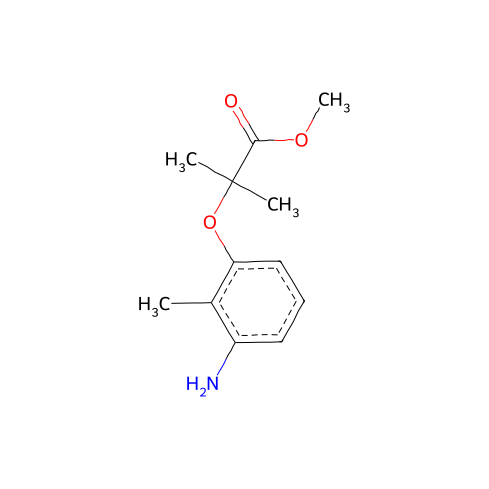 COC(=O)C(C)(C)Oc1cccc(N)c1C